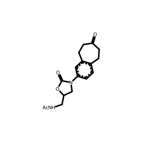 CC(=O)NCC1CN(c2ccc3c(c2)CCC(=O)CC3)C(=O)O1